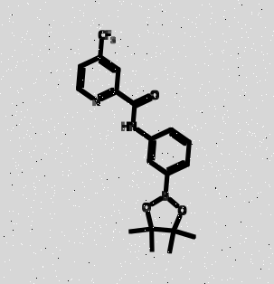 CC1(C)OB(c2cccc(NC(=O)c3cc(C(F)(F)F)ccn3)c2)OC1(C)C